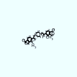 Cc1c(C(F)CN2CCN(CC(F)c3ccc4c(c3C)COC4=O)CC2)ccc2c1COC2=O